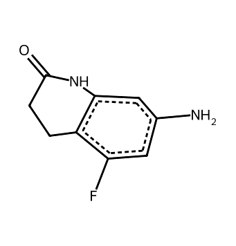 Nc1cc(F)c2c(c1)NC(=O)CC2